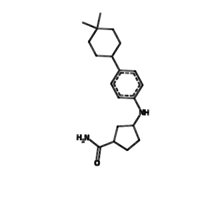 CC1(C)CCC(c2ccc(NC3CCC(C(N)=O)C3)cc2)CC1